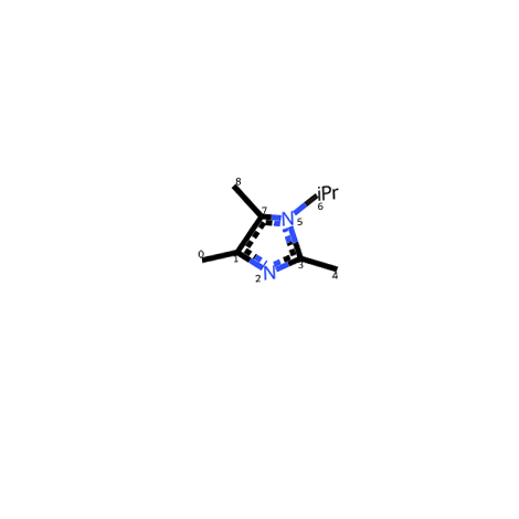 Cc1nc(C)n(C(C)C)c1C